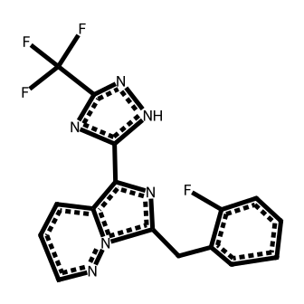 Fc1ccccc1Cc1nc(-c2nc(C(F)(F)F)n[nH]2)c2cccnn12